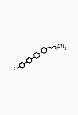 COCCC[C@H]1CC[C@H](C2CCC(c3ccc(-c4ccc(Cl)cc4)cc3)CC2)CC1